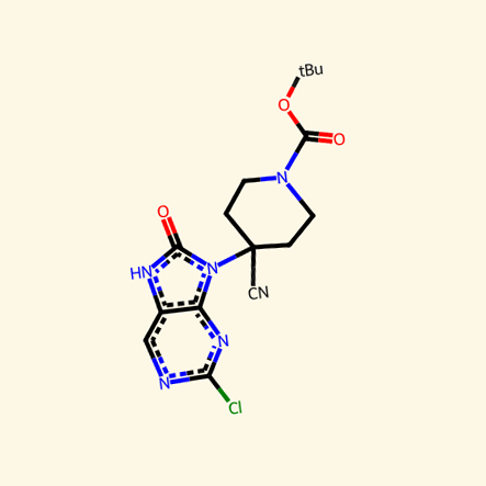 CC(C)(C)OC(=O)N1CCC(C#N)(n2c(=O)[nH]c3cnc(Cl)nc32)CC1